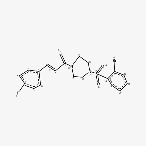 O=C(/C=C/c1ccc(F)cc1)N1CCN(S(=O)(=O)c2ccccc2Br)CC1